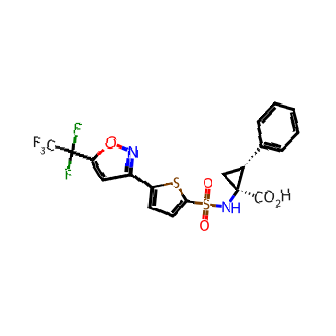 O=C(O)[C@]1(NS(=O)(=O)c2ccc(-c3cc(C(F)(F)C(F)(F)F)on3)s2)C[C@@H]1c1ccccc1